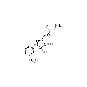 NCC(=O)OCC1O[C@@H](N2C=CCC(C(=O)O)=C2)[C@H](O)[C@@H]1O